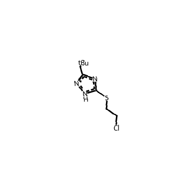 CC(C)(C)c1n[nH]c(SCCCl)n1